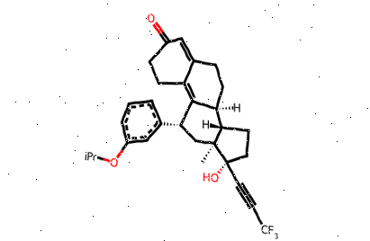 CC(C)Oc1cccc([C@H]2C[C@@]3(C)[C@@H](CC[C@@]3(O)C#CC(F)(F)F)[C@@H]3CCC4=CC(=O)CCC4=C32)c1